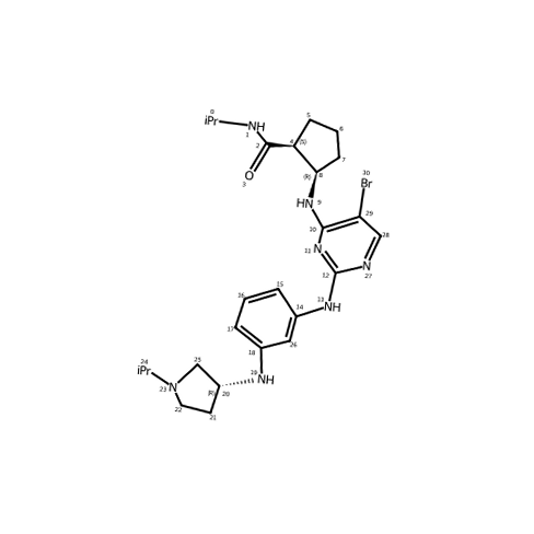 CC(C)NC(=O)[C@H]1CCC[C@H]1Nc1nc(Nc2cccc(N[C@@H]3CCN(C(C)C)C3)c2)ncc1Br